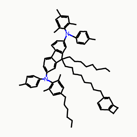 CCCCCCCCC1(CCCCCCCCc2ccc3c(c2)CC3)c2cc(N(c3ccc(C)cc3)c3c(C)cc(C)cc3C)ccc2-c2ccc(N(c3ccc(C)cc3)c3c(C)cc(CCCCCC)cc3C)cc21